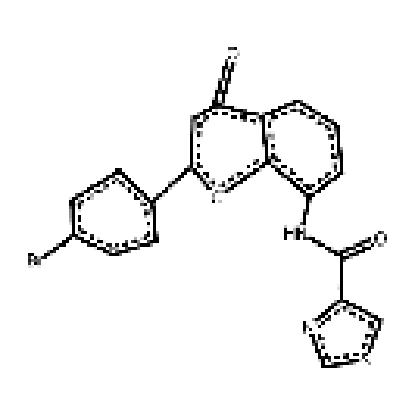 O=C(Nc1cccc2c(=O)cc(-c3ccc(Br)cc3)oc12)c1cscn1